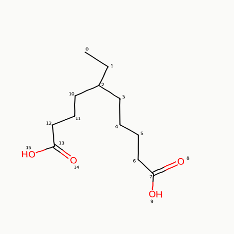 CCC(CCCCC(=O)O)CCCC(=O)O